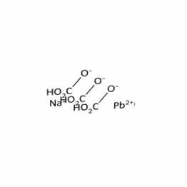 O=C([O-])O.O=C([O-])O.O=C([O-])O.[Na+].[Pb+2]